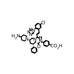 NC1CCN([C@H]2C[C@@H](c3ccccc3)[C@@H](C(=O)Nc3ccc(C(=O)O)cc3)N(C(=O)/C=C/c3cc(Cl)ccc3-n3cnnn3)C2)CC1